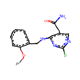 CC(C)Oc1ccccc1CNc1nc(Cl)ncc1C(N)=O